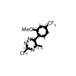 COc1cc(C(F)(F)F)ccc1-c1nnc(Cl)nc1C